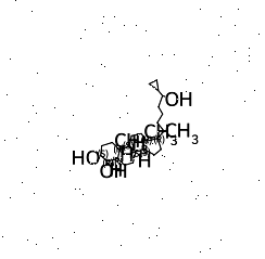 CC(CCCC(O)C1CC1)[C@H]1CC[C@H]2[C@@H]3CC[C@H]4[C@@H](O)[C@@H](O)CC[C@]4(C)[C@H]3CC[C@]12C